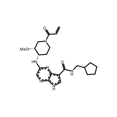 C=CC(=O)N1CC[C@H](Nc2cnc3[nH]cc(C(=O)NCC4CCCC4)c3n2)[C@H](OC)C1